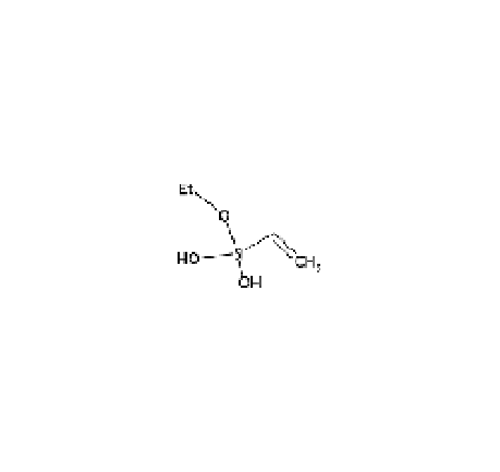 C=C[Si](O)(O)OCC